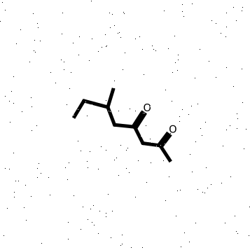 CCC(C)CC(=O)CC(C)=O